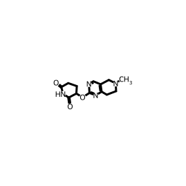 CN1CCc2nc(OC3CCC(=O)NC3=O)ncc2C1